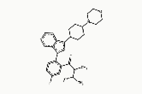 CC(C)N(C)C(=O)c1cc(F)ccc1-n1cc(C2CCC(N3CCOCC3)CC2)c2ccncc21